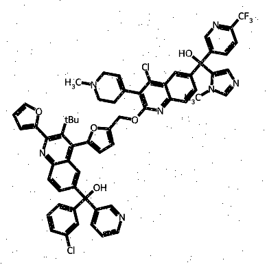 CN1CC=C(c2c(OCc3ccc(-c4c(C(C)(C)C)c(-c5ccco5)nc5ccc(C(O)(c6cccnc6)c6cccc(Cl)c6)cc45)o3)nc3ccc(C(O)(c4ccc(C(F)(F)F)nc4)c4cncn4C)cc3c2Cl)CC1